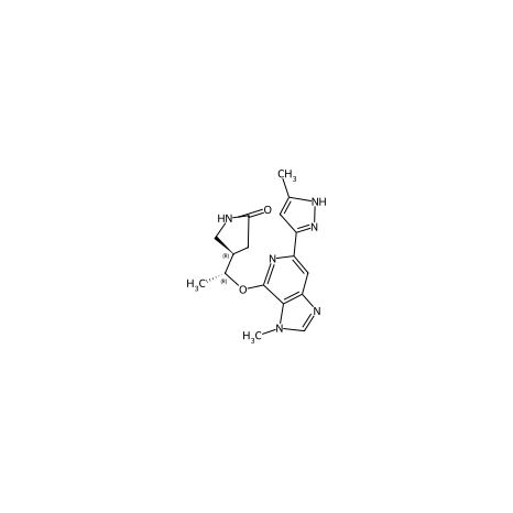 Cc1cc(-c2cc3ncn(C)c3c(O[C@H](C)[C@H]3CNC(=O)C3)n2)n[nH]1